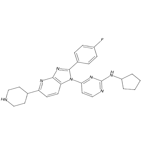 Fc1ccc(-c2nc3nc(C4CCNCC4)ccc3n2-c2ccnc(NC3CCCC3)n2)cc1